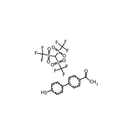 CC(=O)c1ccc(-c2ccc(S)cc2)cc1.O=S(=O)(C(S(=O)(=O)C(F)(F)F)S(=O)(=O)C(F)(F)F)C(F)(F)F